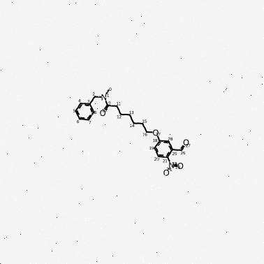 CN(Cc1ccccc1)C(=O)CCCCCCOc1ccc([N+](=O)[O-])c(C=O)c1